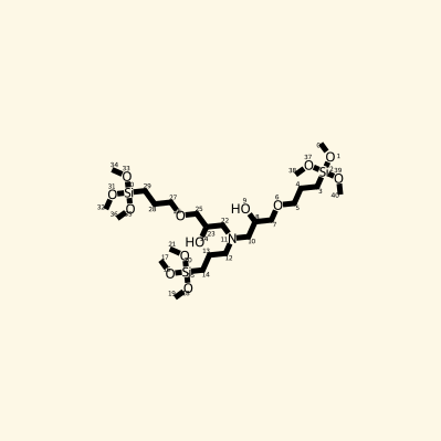 CO[Si](CCCOCC(O)CN(CCC[Si](OC)(OC)OC)CC(O)COCCC[Si](OC)(OC)OC)(OC)OC